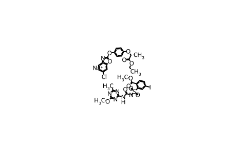 CCOC(=O)[C@@H](C)Oc1ccc(Oc2nc3ccc(Cl)cc3o2)cc1.COC(=O)c1ccc(I)cc1S(=O)(=O)[N-]C(=O)Nc1nc(C)nc(OC)n1.[Na+]